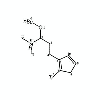 CCCCOC(CCC1=[C]([Ti])CC=C1)[SiH](C)C